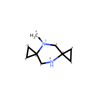 CN1CC2(CC2)NCC12CC2